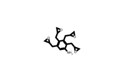 Nc1cc(CC2CO2)c(CC2CO2)c(CC2CO2)c1CC1CO1